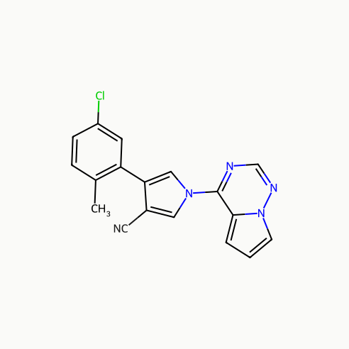 Cc1ccc(Cl)cc1-c1cn(-c2ncnn3cccc23)cc1C#N